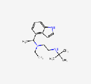 CCN(CCNC(C)(C)C)C(C)c1cccc2[nH]ccc12